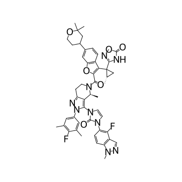 Cc1cc(-n2nc3c(c2-n2ccn(-c4ccc5c(cnn5C)c4F)c2=O)[C@H](C)N(C(=O)c2oc4cc(C5CCOC(C)(C)C5)ccc4c2C2(c4noc(=O)[nH]4)C[C@@H]2C)CC3)cc(C)c1F